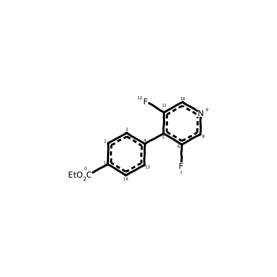 CCOC(=O)c1ccc(-c2c(F)cncc2F)cc1